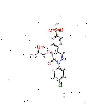 CC(C)[C@@H](O)COc1c(-c2ccc(S(C)(=O)=O)cc2)cnn(-c2ccc(Cl)cc2)c1=O